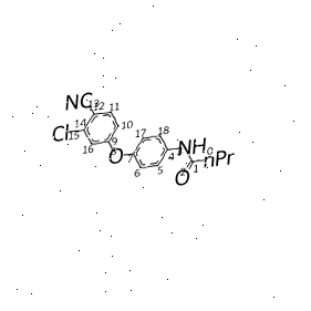 CCCC(=O)Nc1ccc(Oc2ccc(C#N)c(Cl)c2)cc1